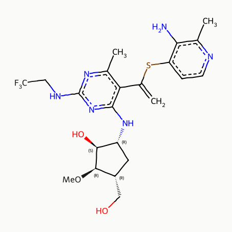 C=C(Sc1ccnc(C)c1N)c1c(C)nc(NCC(F)(F)F)nc1N[C@@H]1C[C@H](CO)[C@@H](OC)[C@H]1O